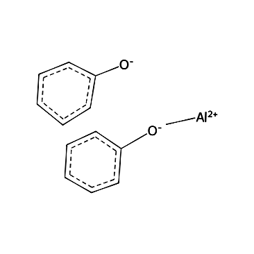 [CH3][Al+2].[O-]c1ccccc1.[O-]c1ccccc1